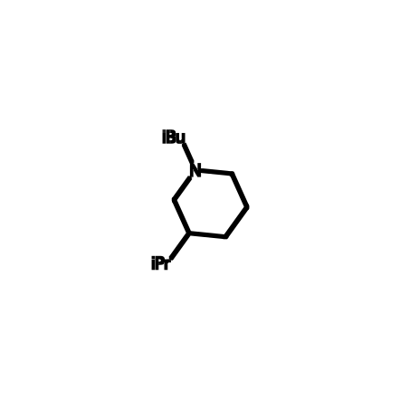 CCC(C)N1CCCC(C(C)C)C1